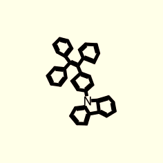 c1ccc(C(=C(c2ccccc2)c2ccc(-n3c4ccccc4c4ccccc43)cc2)c2ccccc2)cc1